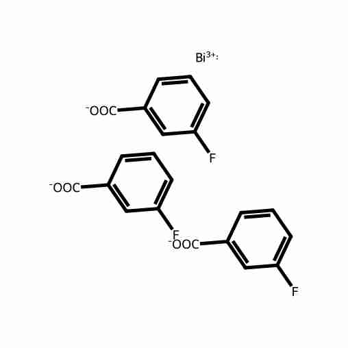 O=C([O-])c1cccc(F)c1.O=C([O-])c1cccc(F)c1.O=C([O-])c1cccc(F)c1.[Bi+3]